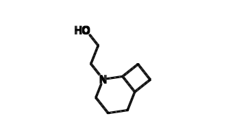 OCCN1CCCC2CCC21